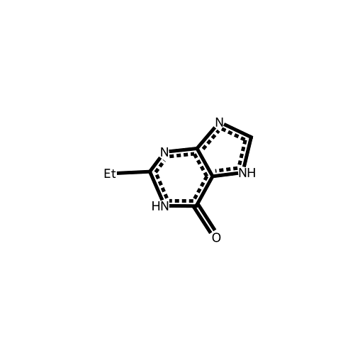 CCc1nc2nc[nH]c2c(=O)[nH]1